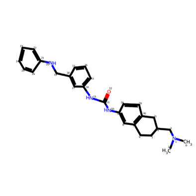 CN(C)CC1CCc2cc(NC(=O)Nc3cccc(CNc4ccccc4)c3)ccc2C1